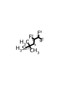 CC(C)([SiH3])CC(F)C(F)F